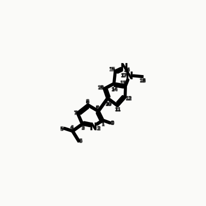 Cc1nc(C(C)C)ccc1-c1ccc2c(cnn2C)c1